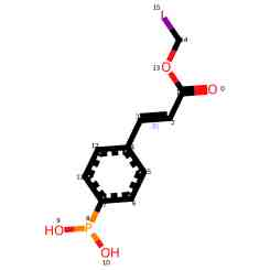 O=C(/C=C/c1ccc(P(O)O)cc1)OCI